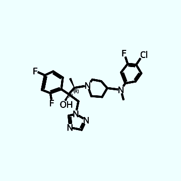 C[C@@H](N1CCC(N(C)c2ccc(Cl)c(F)c2)CC1)[C@](O)(Cn1cncn1)c1ccc(F)cc1F